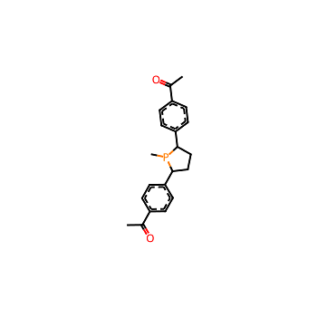 CC(=O)c1ccc(C2CCC(c3ccc(C(C)=O)cc3)P2C)cc1